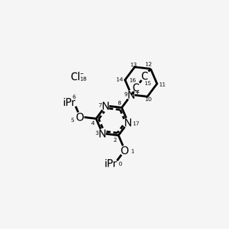 CC(C)Oc1nc(OC(C)C)nc([N+]23CCC(CC2)CC3)n1.[Cl-]